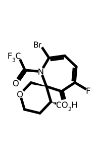 C=C1C(F)=CC=C(Br)N(C(=O)C(F)(F)F)[C@]12COCC[C@H]2C(=O)O